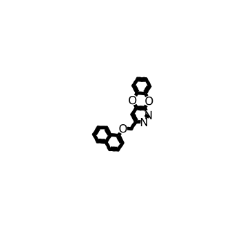 c1ccc2c(c1)Oc1cc(COc3cccc4ccccc34)nnc1O2